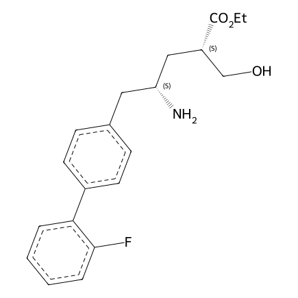 CCOC(=O)[C@H](CO)C[C@H](N)Cc1ccc(-c2ccccc2F)cc1